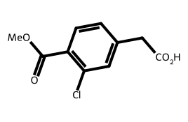 COC(=O)c1ccc(CC(=O)O)cc1Cl